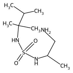 CC(CN)NS(=O)(=O)NC(C)(C)C(C)C